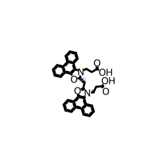 O=C(O)CCN1/C(=C/c2oc3c4ccccc4c4ccccc4c3[n+]2CCC(=O)O)Oc2c1c1ccccc1c1ccccc21